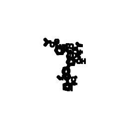 CCn1c(-c2cccnc2[C@H](C)OC)cc2cc(-c3cc(O)cc(C[C@H](NC(=O)[C@H](C(C)C)N(C)C(C)=O)C(=O)N4CCC[C@@H](C(=O)OCC(C)C)N4)c3)ccc21